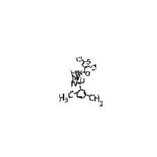 Cc1ccc(C)c(-c2nnc(NC(=O)c3cc(Cl)sc3Cl)o2)c1